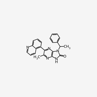 Cc1nc2[nH]c(=O)n(C(C)c3ccccc3)c2nc1-c1cccc2ncccc12